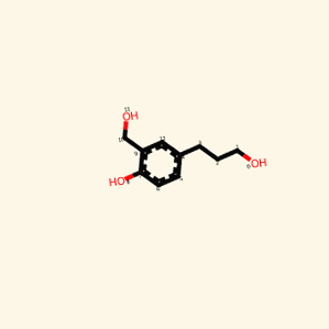 OCCCc1ccc(O)c(CO)c1